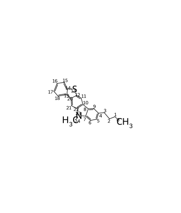 CCCCc1ccc2c(c1)c1cc3sc4ccccc4c3cc1n2C